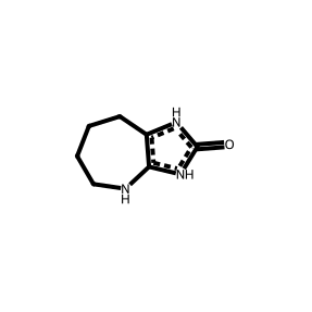 O=c1[nH]c2c([nH]1)NCCCC2